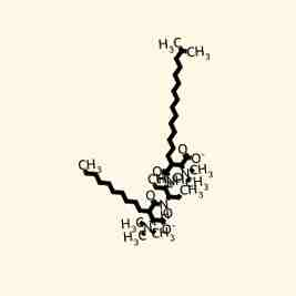 CCCCCCCCCCC(C(=O)N[C](CC)C(CC)NC(=O)C(CCCCCCCCCCCCCC(C)C)C(C(=O)[O-])[N+](C)(C)C)C(C(=O)[O-])[N+](C)(C)C